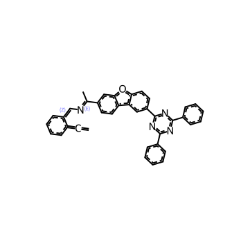 C=C=c1cccc/c1=C/N=C(\C)c1ccc2c(c1)oc1ccc(-c3nc(-c4ccccc4)nc(-c4ccccc4)n3)cc12